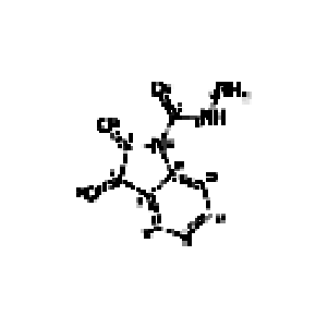 NNC(=O)N1C(=O)C(=O)c2ccccc21